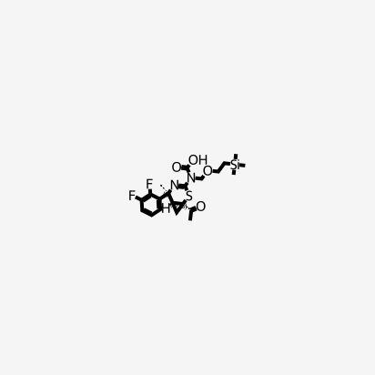 CC(=O)[C@]12C[C@H]1[C@@](C)(c1cccc(F)c1F)N=C(N(COCC[Si](C)(C)C)C(=O)O)S2